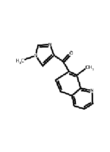 Cc1c(C(=O)c2cn(C)cn2)ccc2cccnc12